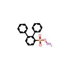 O=S(=O)(OP)c1cccc(-c2ccccc2)c1-c1ccccc1